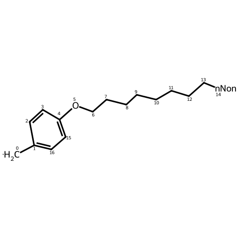 [CH2]c1ccc(OCCCCCCCCCCCCCCCCC)cc1